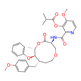 COc1ccc(C[C@H]2CCOC[C@H](NC(=O)c3nccc(OC)c3OC(=O)C(C)C)C(=O)O[C@@H](C)[C@@H]2Oc2ccccc2)cc1